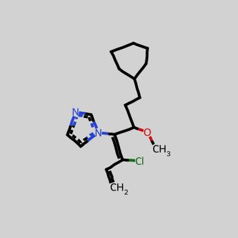 C=C/C(Cl)=C(/C(CCC1CCCCC1)OC)n1ccnc1